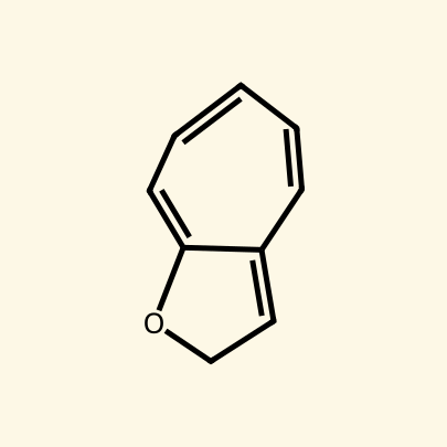 C1=CC=C2OCC=C2C=C1